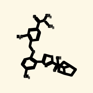 Cc1ccc(OCc2ccc(C(=O)N(C)C)cc2C)c(-c2csc(N3CC4CCC(C3)C4C(=O)O)n2)c1